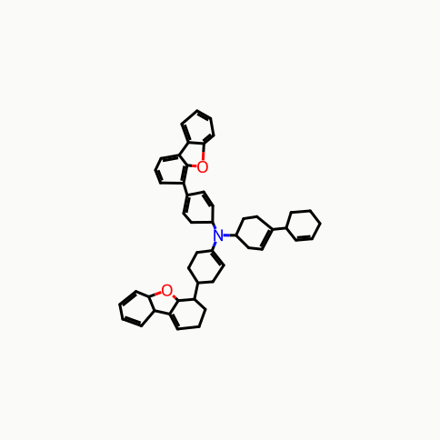 C1=CC2OC3C(=CCCC3C3CC=C(N(C4C=CC(c5cccc6c5oc5ccccc56)=CC4)C4CC=C(C5C=CCCC5)CC4)CC3)C2C=C1